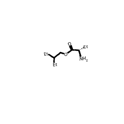 CCC(CC)COC(=O)[C@@H](N)CC